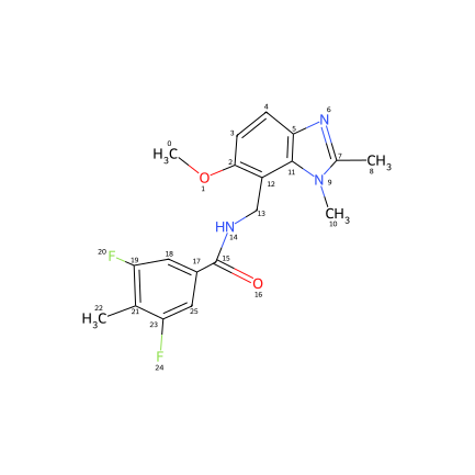 COc1ccc2nc(C)n(C)c2c1CNC(=O)c1cc(F)c(C)c(F)c1